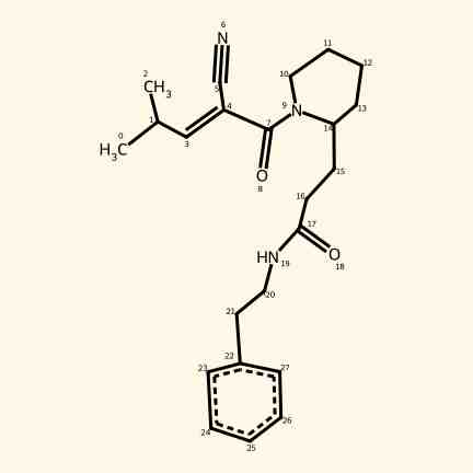 CC(C)C=C(C#N)C(=O)N1CCCCC1CCC(=O)N[CH]Cc1ccccc1